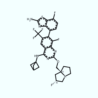 Nc1nc2c(-c3c(C(F)(F)F)cc4c(NC56CC(C5)C6)nc(OC[C@@]56CCCN5C[C@H](F)C6)nc4c3F)ccc(F)c2s1